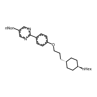 CCCCCCCCCc1cnc(-c2ccc(OCCC[C@H]3CC[C@H](CCCCCC)CC3)cc2)nc1